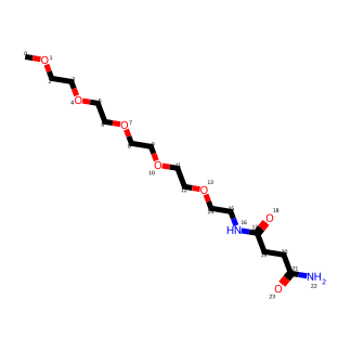 COCCOCCOCCOCCOCCNC(=O)CCC(N)=O